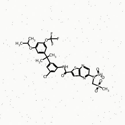 CC(C)Oc1cc(OC(F)(F)F)cc(C(C)(C)c2cc(Cl)cc(NC(=O)c3cc4nc(N(CS(C)(=O)=O)[SH](=O)=O)cnc4s3)c2)c1